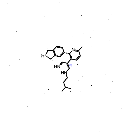 Cc1ccc(/C(C=N)=C/NCCC(C)C)c(-c2ccc3c(c2)CNC3)n1